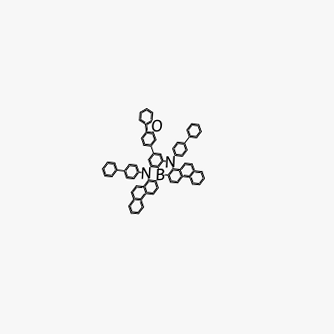 c1ccc(-c2ccc(N3c4cc(-c5ccc6c(c5)oc5ccccc56)cc5c4B(c4ccc6c(ccc7ccccc76)c43)c3ccc4c(ccc6ccccc64)c3N5c3ccc(-c4ccccc4)cc3)cc2)cc1